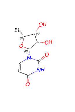 CC[C@H]1O[C@@H](n2ccc(=O)[nH]c2=O)C(O)[C@H]1O